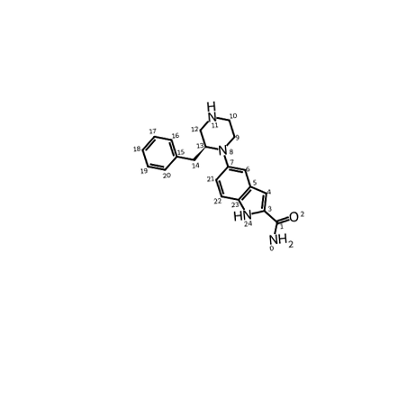 NC(=O)c1cc2cc(N3CCNC[C@@H]3Cc3ccccc3)ccc2[nH]1